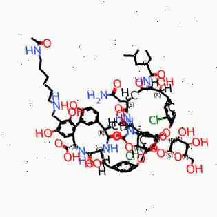 CC[C@H](CC(C)C)C(=O)N[C@H]1C(=O)C[C@@H](CC(N)=O)C(=O)N[C@H]2C(=O)C[C@H]3C(=O)N[C@H](C(=O)N[C@H](C(=O)O)c4cc(O)c(CNCCCCCCNC(C)=O)c(O)c4-c4cc3ccc4O)[C@H](O)c3ccc(c(Cl)c3)Oc3cc2cc(c3O[C@@H]2O[C@H](CO)[C@@H](O)[C@H](O)[C@H]2O[C@H]2C[C@]3(C)NC(=O)O[C@@H]3[C@H](C)O2)Oc2ccc(cc2Cl)[C@H]1O